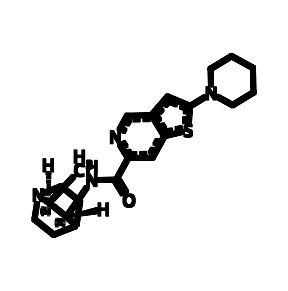 C[C@H]1[C@H](NC(=O)c2cc3sc(N4CCCCC4)cc3cn2)C2CCN1CC2